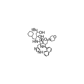 CC(C)(C)C(O)CC(O)[C@H](CC1CCCCC1)NC(=O)[C@@](N)(Cc1c[nH]cn1)C(=O)C(CC(=O)N1CCOCC1)Cc1cccc2ccccc12